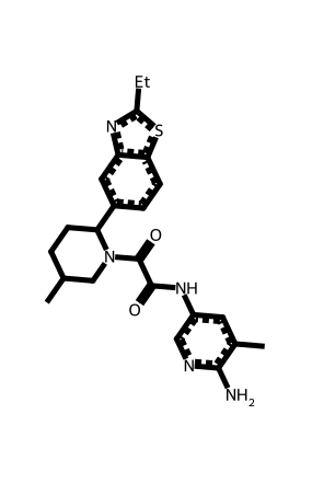 CCc1nc2cc(C3CCC(C)CN3C(=O)C(=O)Nc3cnc(N)c(C)c3)ccc2s1